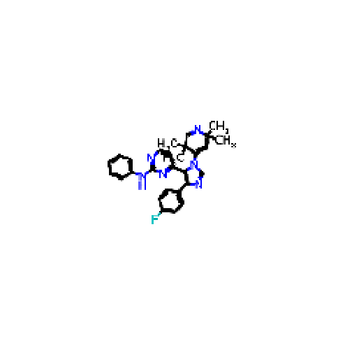 CC1(C)C=C(n2cnc(-c3ccc(F)cc3)c2-c2ccnc(Nc3ccccc3)n2)C(C)(C)C=N1